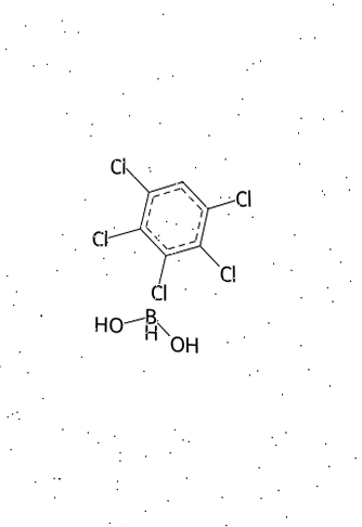 Clc1cc(Cl)c(Cl)c(Cl)c1Cl.OBO